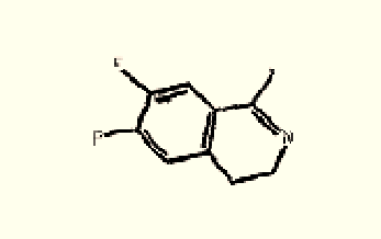 CC1=NCCc2cc(F)c(F)cc21